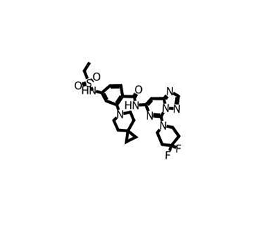 CCS(=O)(=O)Nc1ccc(C(=O)Nc2cc3ncnn3c(N3CCC(F)(F)CC3)n2)c(N2CCC3(CC2)CC3)c1